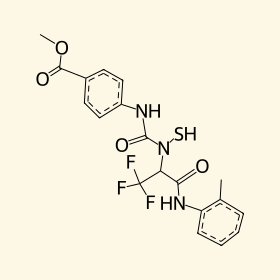 COC(=O)c1ccc(NC(=O)N(S)C(C(=O)Nc2ccccc2C)C(F)(F)F)cc1